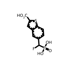 O=C(O)c1cc2cc(C(F)P(=O)(O)O)ccc2s1